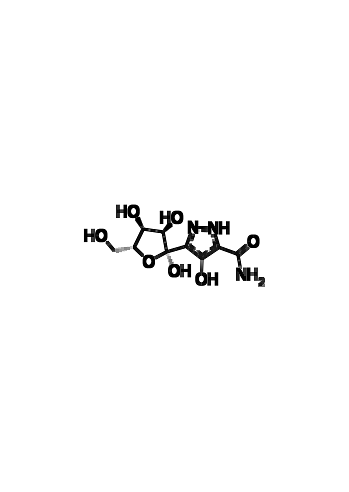 NC(=O)c1[nH]nc([C@@]2(O)O[C@H](CO)[C@@H](O)[C@H]2O)c1O